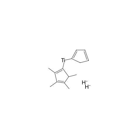 CC1=C(C)C(C)[C]([Ti][C]2=CC=CC2)=C1C.[H-].[H-]